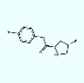 O=C(Nc1ccc(Br)cc1)[C@H]1C[C@H](F)CN1